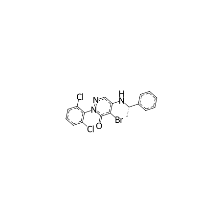 C[C@H](Nc1cnn(-c2c(Cl)cccc2Cl)c(=O)c1Br)c1ccccc1